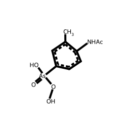 CC(=O)Nc1ccc([As](=O)(O)OO)cc1C